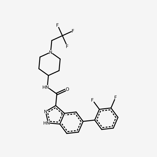 O=C(NC1CCN(CC(F)(F)F)CC1)c1n[nH]c2ccc(-c3cccc(F)c3F)cc12